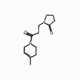 CC1=CCN(C(=O)CCN2CCCC2=O)CC1